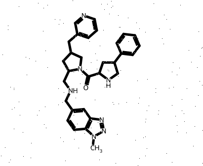 Cn1nnc2cc(CNCC3CC(Cc4cccnc4)CN3C(=O)C3CC(c4ccccc4)CN3)ccc21